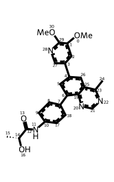 COc1cc(-c2cc(-c3ccc(NC(=O)[C@@H](C)O)cc3)c3ncnc(C)c3c2)cnc1OC